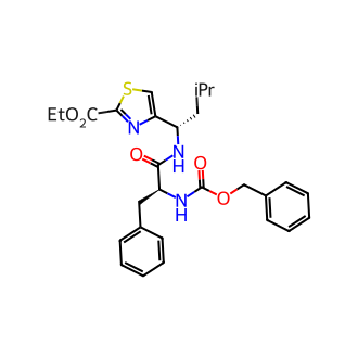 CCOC(=O)c1nc([C@H](CC(C)C)NC(=O)[C@H](Cc2ccccc2)NC(=O)OCc2ccccc2)cs1